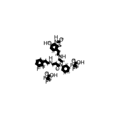 O=C(CCNCCc1cccc(F)c1F)N(CCNCCc1ccc(O)c2[nH]c(=O)sc12)C1CCCCC1.O=C(O)C(F)(F)F.O=C(O)C(F)(F)F